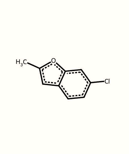 Cc1cc2ccc(Cl)cc2o1